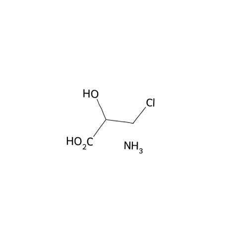 N.O=C(O)C(O)CCl